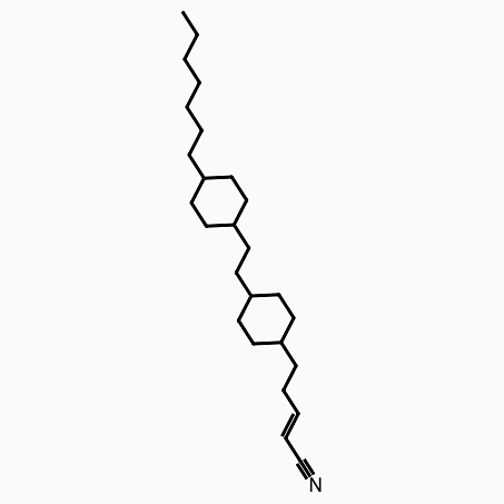 CCCCCCCC1CCC(CCC2CCC(CCC=CC#N)CC2)CC1